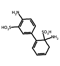 Nc1ccc(C2=CC=CCC2(N)S(=O)(=O)O)cc1S(=O)(=O)O